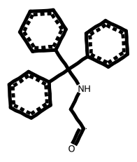 O=[C]CNC(c1ccccc1)(c1ccccc1)c1ccccc1